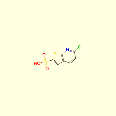 O=S(=O)(O)c1cc2ccc(Cl)nc2s1